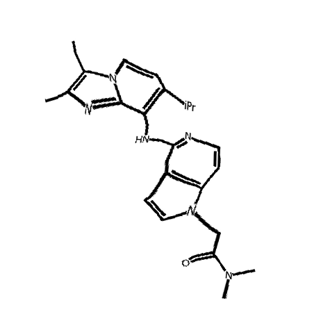 Cc1nc2c(Nc3nccc4c3ccn4CC(=O)N(C)C)c(C(C)C)ccn2c1C